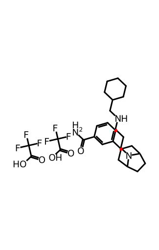 NC(=O)c1cccc(C2CC3CCC(C2)N3CCCNCC2CCCCC2)c1.O=C(O)C(F)(F)F.O=C(O)C(F)(F)F